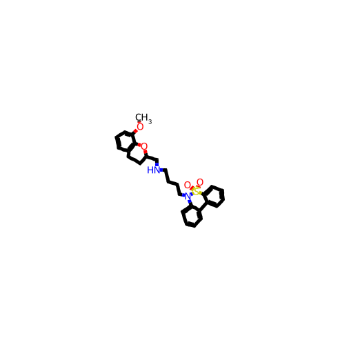 COc1cccc2c1OC(CNCCCCN1c3ccccc3-c3ccccc3S1(=O)=O)CC2